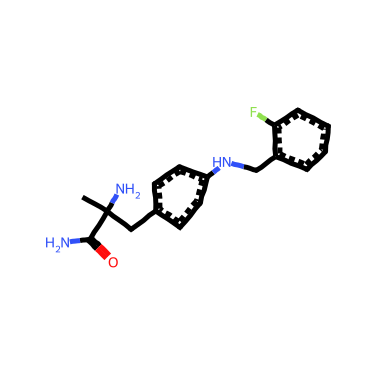 CC(N)(Cc1ccc(NCc2ccccc2F)cc1)C(N)=O